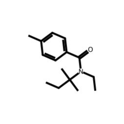 CCN(C(=O)c1ccc(C)cc1)C(C)(C)CC